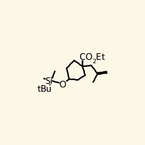 C=C(C)CC1(C(=O)OCC)CCC(O[Si](C)(C)C(C)(C)C)CC1